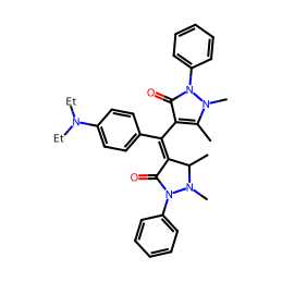 CCN(CC)c1ccc(C(=C2C(=O)N(c3ccccc3)N(C)C2C)c2c(C)n(C)n(-c3ccccc3)c2=O)cc1